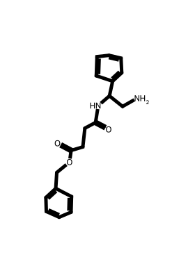 NCC(NC(=O)CCC(=O)OCc1ccccc1)c1ccccc1